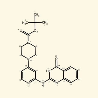 CC(C)(C)OC(=O)N1CCN(c2ccnc(Nc3nc4ccccc4c(=O)[nH]3)c2)CC1